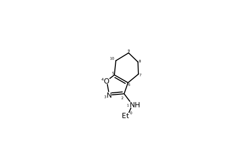 CCNc1noc2c1CCCC2